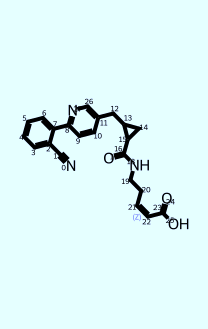 N#Cc1ccccc1-c1ccc(CC2CC2C(=O)NCC/C=C\C(=O)O)cn1